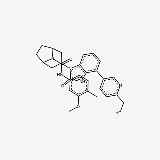 COc1cc(NC(=O)N2C3CCC2CC(n2c(=O)[nH]c4c(-c5ccc(CO)nc5)cccc42)C3)ccc1C